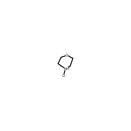 [O-][NH+]1C[CH]OCC1